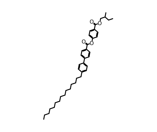 CCCCCCCCCCCCCCCc1ccc(-c2ccc(C(=O)Oc3ccc(C(=O)OCC(C)CC)cc3)cc2)cc1